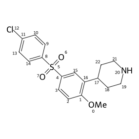 COc1ccc(S(=O)(=O)c2ccc(Cl)cc2)cc1C1CCNCC1